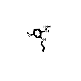 C=CCNc1cc(OC)ccc1NNI